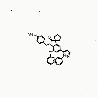 COc1ccc(CN2C(=O)C3(CCCC3)c3cc(-c4ccnn4-c4ccccc4)cc(Oc4ccccn4)c32)cc1